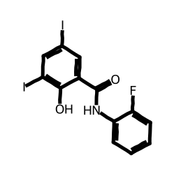 O=C(Nc1ccccc1F)c1cc(I)cc(I)c1O